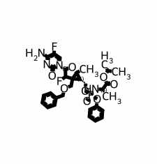 CC(C)OC(=O)[C@H](C)NP(=O)(OC[C@H]1C2(C)O[C@@H](n3cc(F)c(N)nc3=O)C(F)C12COCc1ccccc1)Oc1ccccc1